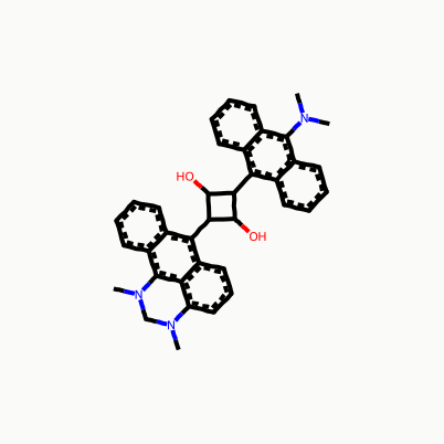 CN(C)c1c2ccccc2c(C2C(O)C(c3c4ccccc4c4c5c(cccc35)N(C)CN4C)C2O)c2ccccc12